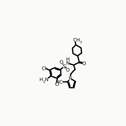 CC1CCC(C(=O)C(CCn2cccc2C#N)NS(=O)(=O)c2cc(Cl)c(N)c(Cl)c2)CC1